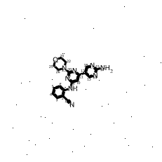 N#Cc1ccccc1Nc1cc(-c2cnc(N)nc2)nc(N2CCOCC2)n1